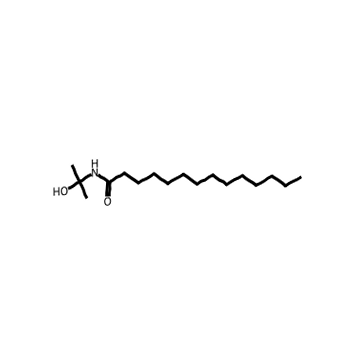 CCCCCCCCCCCCCC(=O)NC(C)(C)O